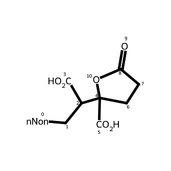 CCCCCCCCCCC(C(=O)O)C1(C(=O)O)CCC(=O)O1